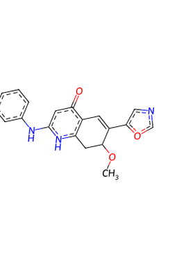 COC1Cc2[nH]c(Nc3ccccc3)cc(=O)c2C=C1c1cnco1